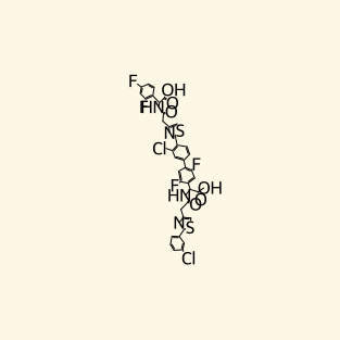 O=C(Cc1csc(-c2cccc(Cl)c2)n1)NC(C(=O)O)c1cc(F)c(-c2ccc(-c3nc(CC(=O)NC(C(=O)O)c4ccc(F)cc4F)cs3)c(Cl)c2)cc1F